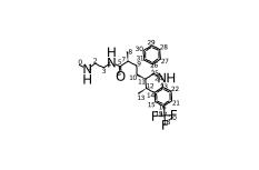 CNCCNC(=O)[C@@H](C)CC[C@@H]1[C@H](C)c2cc(C(F)(F)F)ccc2N[C@H]1c1ccccc1